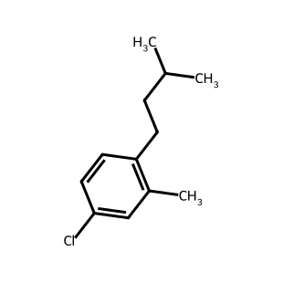 Cc1cc(Cl)ccc1CCC(C)C